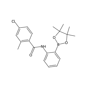 Cc1cc(Cl)ccc1C(=O)Nc1ccccc1B1OC(C)(C)C(C)(C)O1